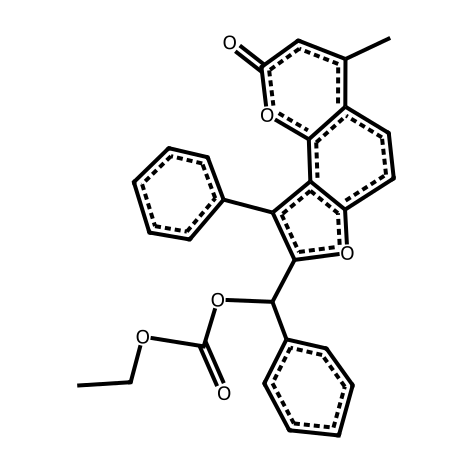 CCOC(=O)OC(c1ccccc1)c1oc2ccc3c(C)cc(=O)oc3c2c1-c1ccccc1